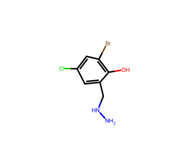 NNCc1cc(Cl)cc(Br)c1O